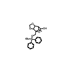 CC1C2C(O)OC1(CO[Si](c1ccccc1)(c1ccccc1)C(C)(C)C)C1OCOC21